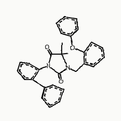 CC1(C)C(=O)N(c2ccccc2-c2ccccc2)C(=O)N1Cc1ccccc1Oc1ccccc1